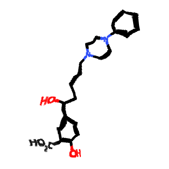 O=C(O)c1cc(C(O)CCCCN2CCN(c3ccccc3)CC2)ccc1O